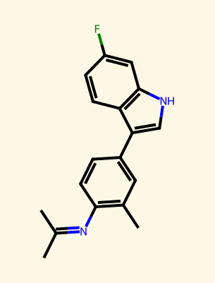 CC(C)=Nc1ccc(-c2c[nH]c3cc(F)ccc23)cc1C